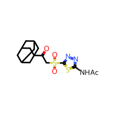 CC(=O)Nc1nnc(S(=O)(=O)CC(=O)C23CC4CC(CC(C4)C2)C3)s1